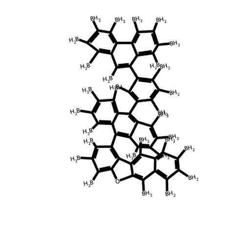 Bc1c(B)c(-c2c3c(B)c(B)c(B)c(B)c3c(-c3c(B)c(B)c(B)c4oc5c(B)c6c(B)c(B)c(B)c(B)c6c(B)c5c34)c3c(B)c(B)c(B)c(B)c23)c(B)c(-c2c(B)c3c(B)c(B)c(B)c(B)c3c3c(B)c(B)c(B)c(B)c23)c1B